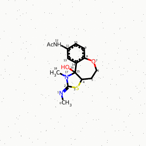 C/N=C1\SC2CCOc3ccc(NC(C)=O)cc3C2(O)N1C